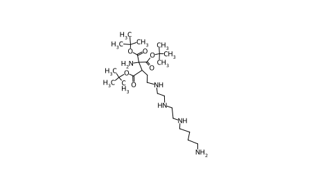 CC(C)(C)OC(=O)C(CCNCCNCCNCCCCN)C(N)(C(=O)OC(C)(C)C)C(=O)OC(C)(C)C